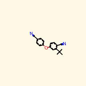 CC(C)(C)c1cc(Oc2ccc(C#N)cc2)ccc1C#N